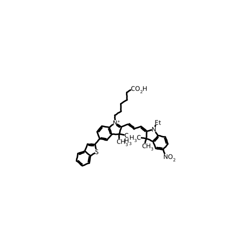 CCN1/C(=C/C=C/C2=[N+](CCCCCC(=O)O)c3ccc(-c4cc5ccccc5s4)cc3C2(C)C)C(C)(C)c2cc([N+](=O)[O-])ccc21